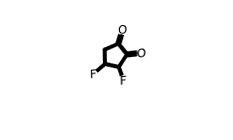 O=C1CC(F)C(F)C1=O